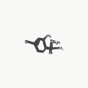 CCC(C)(C(=O)O)c1ccc(Cl)cc1C